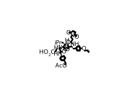 C=CCOc1ccc(C[C@H](NC(=O)CCN2C(=O)C=CC2=O)C(=O)N[C@H](CC(C)C)C(=O)N[C@@H](CCC(=O)O)C(=O)Nc2ccc(COC(C)=O)cc2)cc1